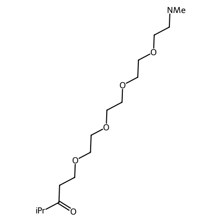 CNCCOCCOCCOCCOCCC(=O)C(C)C